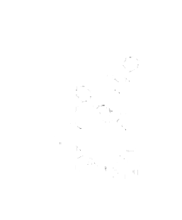 CCc1ccc(NC(=O)NC(Cc2cc(F)cc(F)c2)C(=O)N[C@@H]2C(=O)N3CCCC3C(=O)N(C)[C@@H]([C@H](C)O)C(=O)N[C@@H](C)C(=O)N3C[C@H](C)CC3C(=O)O[C@H]2C)cc1